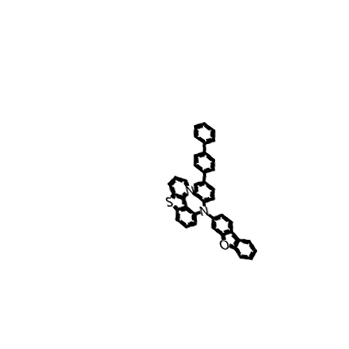 c1ccc(-c2ccc(-c3ccc(N(c4ccc5c(c4)oc4ccccc45)c4cccc5sc6cccnc6c45)cc3)cc2)cc1